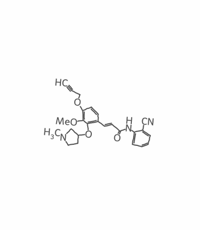 C#CCOc1ccc(/C=C/C(=O)Nc2ccccc2C#N)c(OC2CCN(C)C2)c1OC